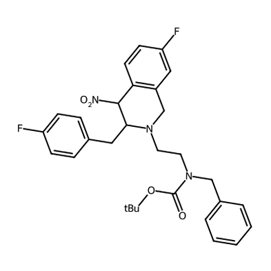 CC(C)(C)OC(=O)N(CCN1Cc2cc(F)ccc2C([N+](=O)[O-])C1Cc1ccc(F)cc1)Cc1ccccc1